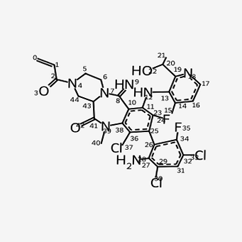 C=CC(=O)N1CCN2C(=N)c3c(Nc4c(C)ccnc4C(C)O)c(F)c(-c4c(N)c(Cl)cc(Cl)c4F)c(Cl)c3N(C)C(=O)C2C1